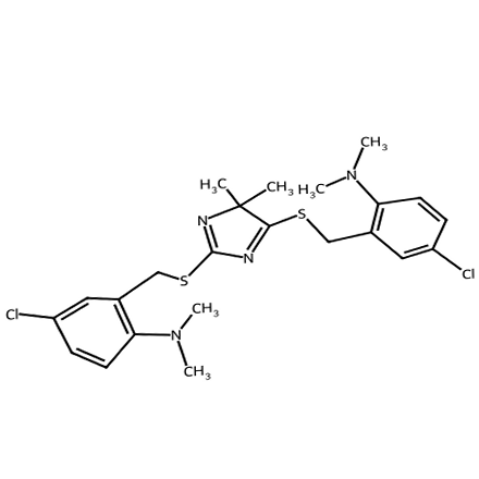 CN(C)c1ccc(Cl)cc1CSC1=NC(C)(C)C(SCc2cc(Cl)ccc2N(C)C)=N1